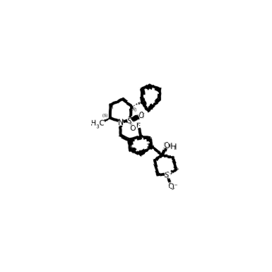 C[C@H]1CC[C@H](c2ccccc2)S(=O)(=O)N1Cc1ccc(C2(O)CC[S+]([O-])CC2)cc1F